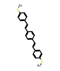 CC(=O)Sc1ccc(/C=C/c2ccc(/C=C/c3ccc(SC(C)=O)cc3)cc2)cc1